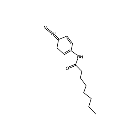 CCCCCCCC(=O)NC1=CCC(=[N+]=[N-])C=C1